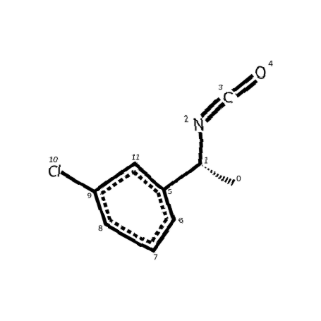 C[C@@H](N=C=O)c1cccc(Cl)c1